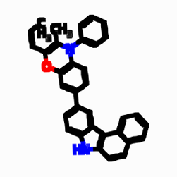 C/C=C\C1=C(C)N(c2ccccc2)c2ccc(-c3ccc4[nH]c5ccc6ccccc6c5c4c3)cc2O1